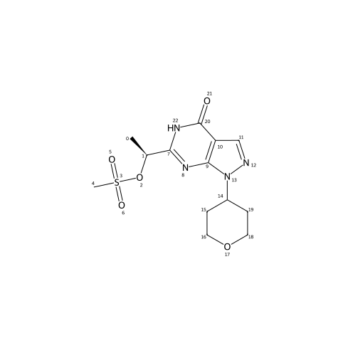 C[C@H](OS(C)(=O)=O)c1nc2c(cnn2C2CCOCC2)c(=O)[nH]1